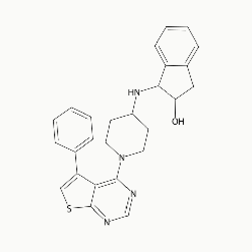 OC1Cc2ccccc2C1NC1CCN(c2ncnc3scc(-c4ccccc4)c23)CC1